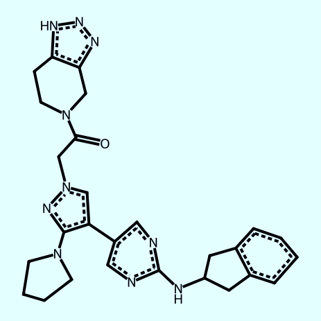 O=C(Cn1cc(-c2cnc(NC3Cc4ccccc4C3)nc2)c(N2CCCC2)n1)N1CCc2[nH]nnc2C1